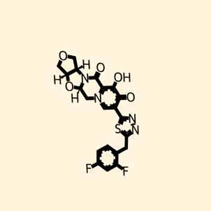 O=C1c2c(O)c(=O)c(-c3nnc(Cc4ccc(F)cc4F)s3)cn2C[C@H]2O[C@@H]3COC[C@@H]3N12